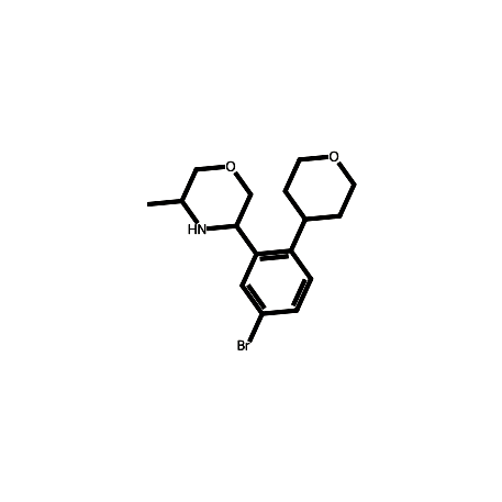 CC1COCC(c2cc(Br)ccc2C2CCOCC2)N1